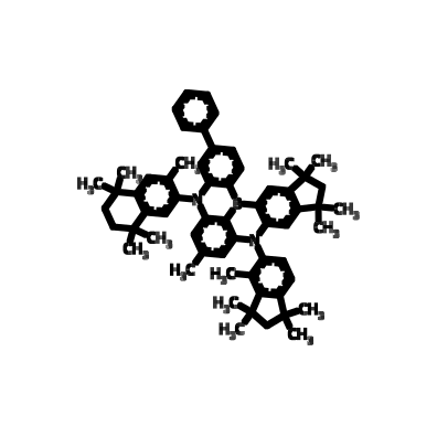 Cc1cc2c3c(c1)N(c1ccc4c(c1C)C(C)(C)CC4(C)C)c1cc4c(cc1B3c1ccc(-c3ccccc3)cc1N2c1cc2c(cc1C)C(C)(C)CCC2(C)C)C(C)(C)CC4(C)C